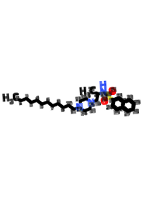 CCCCCCCCCCCCN1CCN(CC(C)NS(=O)(=O)c2ccc3ccccc3c2)CC1